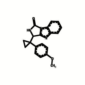 COc1ccc(C2(C3NC(=O)n4c3nc3ccccc34)CC2)cc1